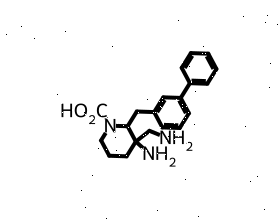 NCC1(N)CCCN(C(=O)O)C1Cc1cccc(-c2ccccc2)c1